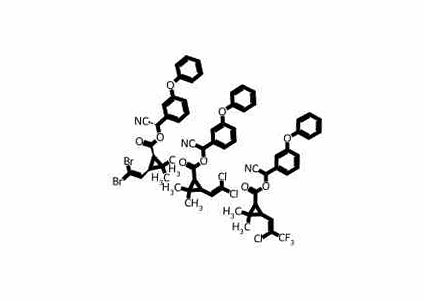 CC1(C)C(/C=C(\Cl)C(F)(F)F)C1C(=O)OC(C#N)c1cccc(Oc2ccccc2)c1.CC1(C)C(C=C(Cl)Cl)C1C(=O)OC(C#N)c1cccc(Oc2ccccc2)c1.CC1(C)[C@H](C(=O)O[C@H](C#N)c2cccc(Oc3ccccc3)c2)[C@@H]1C=C(Br)Br